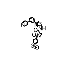 CS(=O)(=O)c1ccc(C(=O)N2CCC2C(=O)Nc2nc(-c3cccc(-c4ccncc4)c3)cs2)cc1